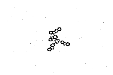 c1ccc2cc3c(cc2c1)c1ccccc1n3-c1ccc(-c2nc(-c3ccc4c(c3)sc3ccccc34)nc(-c3ccc4c(c3)sc3ccccc34)n2)c2c1oc1ccccc12